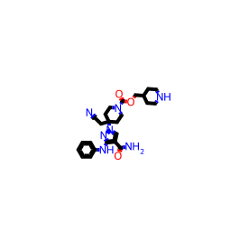 N#CCC1(n2cc(C(N)=O)c(Nc3ccccc3)n2)CCN(C(=O)OCC2CCNCC2)CC1